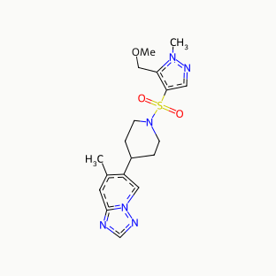 COCc1c(S(=O)(=O)N2CCC(c3cn4ncnc4cc3C)CC2)cnn1C